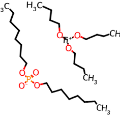 CCCCCCCCOP(=O)([O-])OCCCCCCCC.CCCC[O][Ti+]([O]CCCC)[O]CCCC